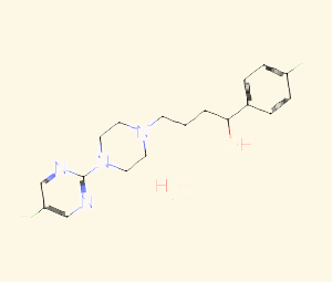 O.OC(CCCN1CCN(c2ncc(F)cn2)CC1)c1ccc(F)cc1